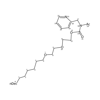 CCCCCCCCCCCCCCCCOCCOCCOC(=O)N(Cc1ccccn1)C(C)=O